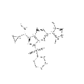 COC(c1cn(S(=O)(=O)C2CCCCC2)c2cc(-c3c(C)noc3C)cnc12)C1CC1